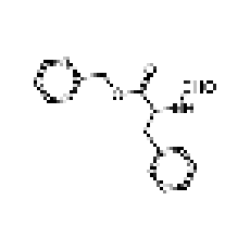 O=CNC(Cc1ccccc1)C(=O)OCc1ccccc1